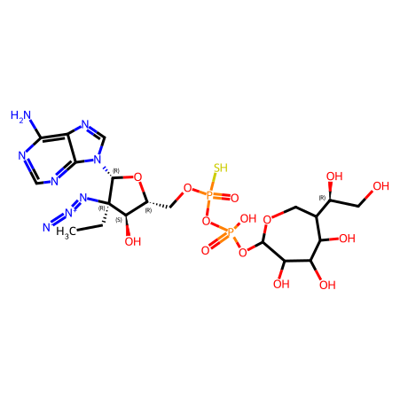 CC[C@@]1(N=[N+]=[N-])[C@H](O)[C@@H](COP(=O)(S)OP(=O)(O)OC2OCC([C@@H](O)CO)C(O)C(O)C2O)O[C@H]1n1cnc2c(N)ncnc21